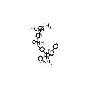 Cc1cc(O)n(-c2ccc(C(=O)NCc3ccc(-n4c(-c5cccnc5N)nc5ccc(-c6ccccc6)nc54)cc3)cn2)n1